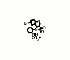 CC(C)C(=O)c1cnc2ccc(Br)cc2c1NC1CCCCC1NC(=O)O